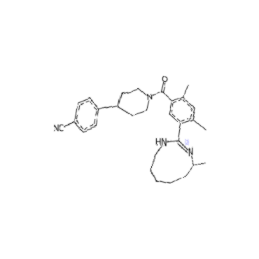 Cc1cc(C)c(/C2=N/C(C)CCCCCN2)cc1C(=O)N1CCC(c2ccc(C#N)cc2)CC1